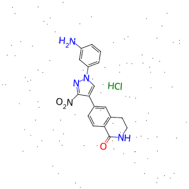 Cl.Nc1cccc(-n2cc(-c3ccc4c(c3)CCNC4=O)c([N+](=O)[O-])n2)c1